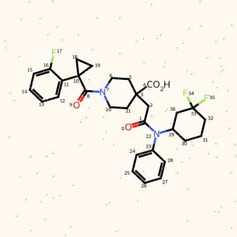 O=C(CC1(C(=O)O)CCN(C(=O)C2(c3ccccc3F)CC2)CC1)N(c1ccccc1)C1CCCC(F)(F)C1